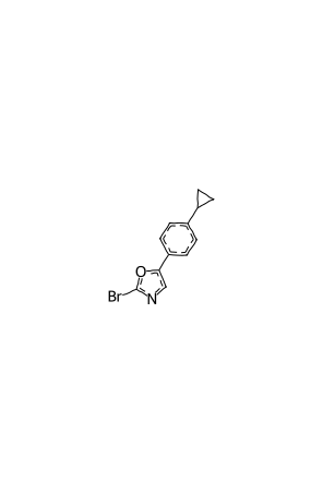 Brc1ncc(-c2ccc(C3CC3)cc2)o1